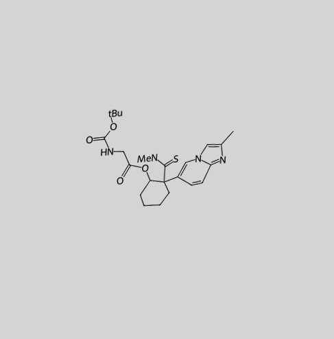 CNC(=S)C1(c2ccc3nc(C)cn3c2)CCCCC1OC(=O)CNC(=O)OC(C)(C)C